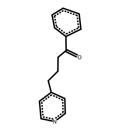 O=C(CCCc1ccncc1)c1ccccc1